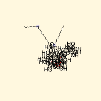 CCCCCCCC/C=C\CCCCCCCCCCCCCC(=O)N[C@@H](CO[C@@H]1OC(CO)[C@@H](O[C@@H]2OC(CO)[C@H](O)[C@H](O[C@@H]3OC(CO)[C@@H](O[C@@H]4OC(CO)[C@H](O)[C@H](O[C@@H]5OC(CO)[C@@H](O[C@@H]6OC(CO[C@]7(C(=O)O)CC(O)[C@@H](NC(C)=O)C([C@H](O)[C@H](O)CO)O7)[C@H](O)[C@H](O)C6O)[C@H](O)C5NC(C)=O)C4O)[C@H](O[C@H]4OC(C)[C@@H](O)C(O)[C@@H]4O)C3NC(C)=O)C2O)[C@H](O)C1O)[C@H](O)/C=C/CCCCCCCCCCCCC